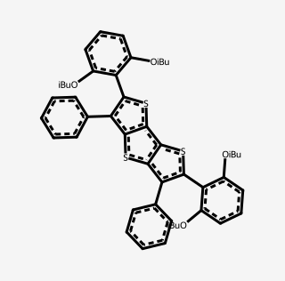 CC(C)COc1cccc(OCC(C)C)c1-c1sc2c(sc3c(-c4ccccc4)c(-c4c(OCC(C)C)cccc4OCC(C)C)sc32)c1-c1ccccc1